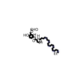 CC/C=C\C/C=C\C/C=C\C/C=C\C/C=C\C/C=C\CCC(=O)NC(CC(C)C)C(=O)Nc1ccc(O)c(COC=O)c1